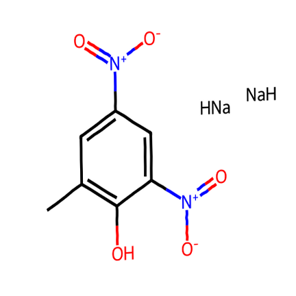 Cc1cc([N+](=O)[O-])cc([N+](=O)[O-])c1O.[NaH].[NaH]